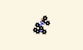 c1ccc(-c2nc(-n3c4ccccc4c4c5c6c7ccccc7ccc6n6c7ccccc7c(cc43)c56)nc3oc4ccccc4c23)cc1